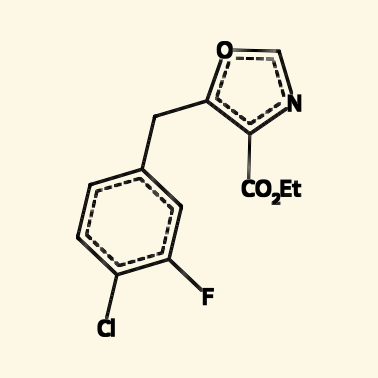 CCOC(=O)c1ncoc1Cc1ccc(Cl)c(F)c1